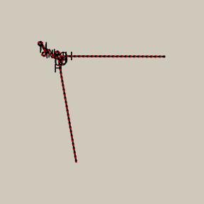 C#CC#CC#CC#CC#CC#CC#CC#CC#CC#CC#CC#CC#CC#CC#CC#CC#CC#CC#CC#CC#CC#CC#CC#COC(=O)C1(C(=O)OC#CC#CC#CC#CC#CC#CC#CC#CC#CC#CC#CC#CC#CC#CC#CC#CC#CC#CC#CC#CC#CC#CC#CC#C)Nc2cccc3c(/N=N/c4ccc(/N=N/c5ccccc5)c5ccccc45)ccc(c23)N1